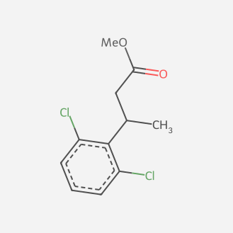 COC(=O)CC(C)c1c(Cl)cccc1Cl